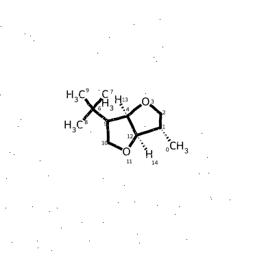 C[C@H]1CO[C@@H]2C(C(C)(C)C)CO[C@@H]21